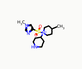 CC1CC[N+](C2CCNCC2)(S(=O)(=O)c2cn(C)cn2)CC1